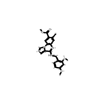 COC(=O)c1cc2c(cc1C)nc(NCc1ccc(OC)cc1OC)c1cncn12